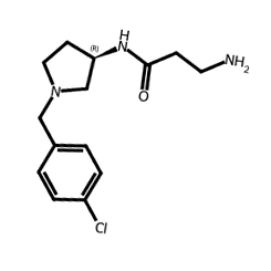 NCCC(=O)N[C@@H]1CCN(Cc2ccc(Cl)cc2)C1